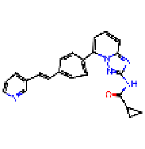 O=C(Nc1nc2cccc(-c3ccc(/C=C/c4cccnc4)cc3)n2n1)C1CC1